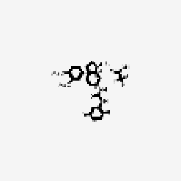 COc1ccc([C@@]23CC[C@@H](NC(=O)Nc4cc(F)ccc4F)C[C@@H]2N(C(C)(C)C)CC3)cc1OC.O=C(O)C(F)(F)F